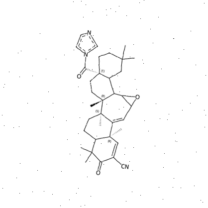 CC1(C)CC[C@]2(C(=O)n3ccnc3)CC[C@]3(C)C(C4OC4C=C4[C@@]5(C)C=C(C#N)C(=O)C(C)(C)C5CC[C@]43C)C2C1